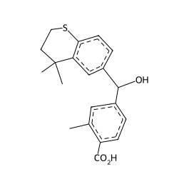 Cc1cc(C(O)c2ccc3c(c2)C(C)(C)CCS3)ccc1C(=O)O